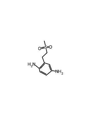 CS(=O)(=O)CCc1cc(N)ccc1N